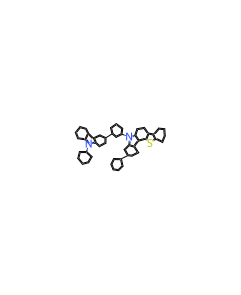 c1ccc(-c2ccc3c4c5sc6ccccc6c5ccc4n(-c4cccc(-c5ccc6c(c5)c5ccccc5n6-c5ccccc5)c4)c3c2)cc1